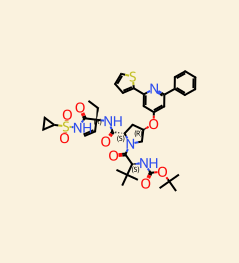 C=C[C@@](CC)(NC(=O)[C@@H]1C[C@@H](Oc2cc(-c3ccccc3)nc(-c3cccs3)c2)CN1C(=O)[C@@H](NC(=O)OC(C)(C)C)C(C)(C)C)C(=O)NS(=O)(=O)C1CC1